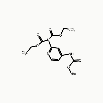 CC(C)(C)OC(=O)Nc1ccnc(N(C(=O)OCC(Cl)(Cl)Cl)C(=O)OCC(Cl)(Cl)Cl)c1